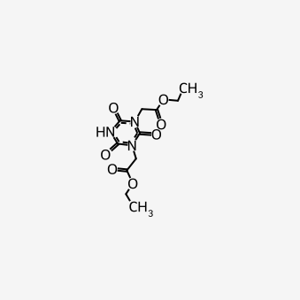 CCOC(=O)Cn1c(=O)[nH]c(=O)n(CC(=O)OCC)c1=O